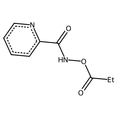 CCC(=O)ONC(=O)c1ccccn1